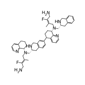 C/C(CN(C[C@H]1Cc2ccc(C3CC[C@H](N(C/C(C)=C(/F)CN)C[C@H]4Cc5ccccc5CN4)c4ncccc43)cc2CN1)[C@H]1CCCc2cccnc21)=C(/F)CN